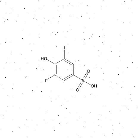 O=S(=O)(O)c1cc(I)c(O)c(I)c1